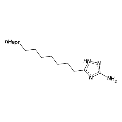 CCCCCCCCCCCCCCc1nc(N)n[nH]1